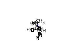 CN/C=C(\C=N)c1cnc(Nc2ccc(C#N)nc2)nc1NCC1CCNCC1